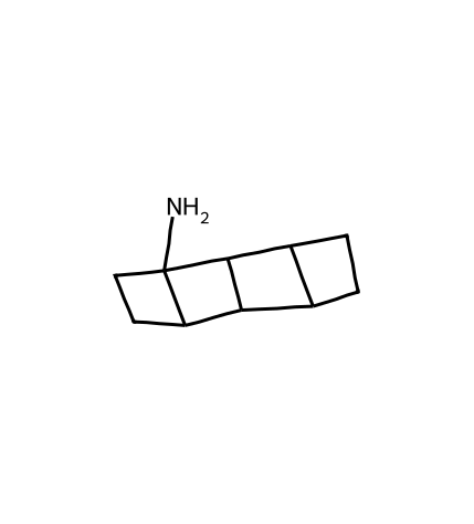 NC12CCC1C1C3CCC3C12